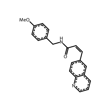 COc1ccc(CNC(=O)/C=C\c2ccc3ncccc3c2)cc1